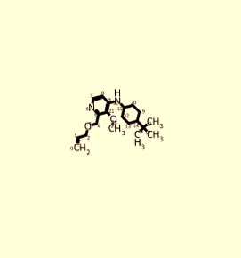 C=CCOCc1nccc(NC2CCC(C(C)(C)C)CC2)c1OC